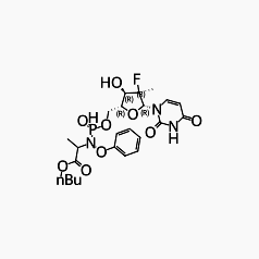 CCCCOC(=O)C(C)N(Oc1ccccc1)[PH](=O)OC[C@H]1O[C@@H](n2ccc(=O)[nH]c2=O)[C@](C)(F)[C@@H]1O